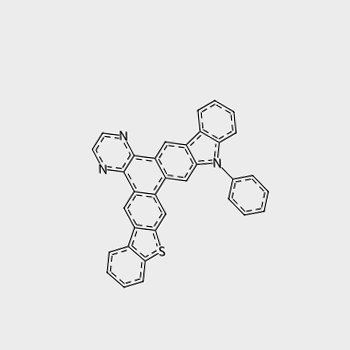 c1ccc(-n2c3ccccc3c3cc4c(cc32)c2cc3sc5ccccc5c3cc2c2nccnc42)cc1